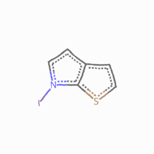 In1ccc2ccsc21